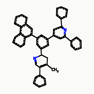 CC1=C(c2ccccc2)C=NC(c2cc(-c3cc(-c4ccccc4)nc(-c4ccccc4)c3)cc(-c3cc4ccccc4c4ccccc34)c2)C1